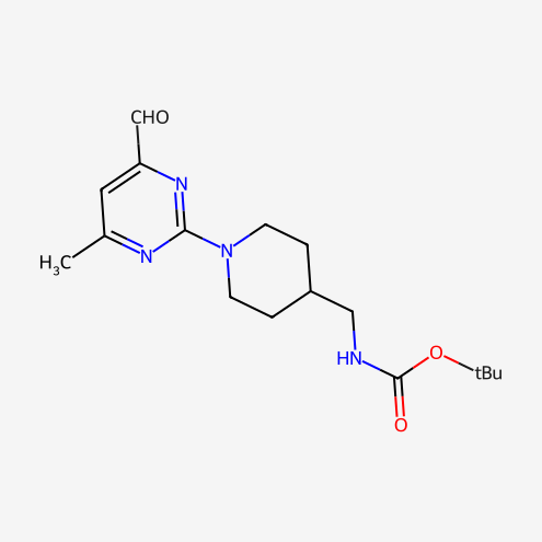 Cc1cc(C=O)nc(N2CCC(CNC(=O)OC(C)(C)C)CC2)n1